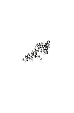 C[C@@H]1OCC2(CCN(c3cnc(Sc4ccnc(N)c4Cl)c(N)n3)CC2)[C@@H]1NCc1ccncc1N1CCC(=O)NC1=O